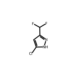 FC(F)c1cc(Cl)[nH]n1